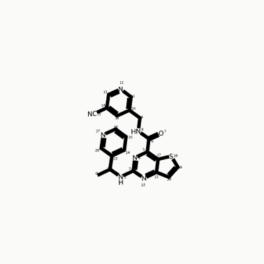 CC(Nc1nc(C(=O)NCc2cncc(C#N)c2)c2sccc2n1)c1cccnc1